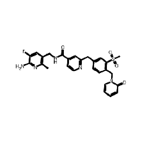 Cc1nc(N)c(F)cc1CNC(=O)c1ccnc(Cc2ccc(Cn3ccccc3=O)c(S(C)(=O)=O)c2)c1